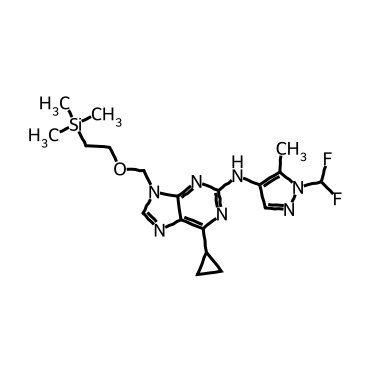 Cc1c(Nc2nc(C3CC3)c3ncn(COCC[Si](C)(C)C)c3n2)cnn1C(F)F